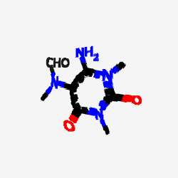 CN(C=O)c1c(N)n(C)c(=O)n(C)c1=O